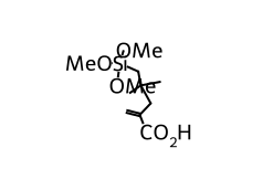 C=C(CC(C)(C)C[Si](OC)(OC)OC)C(=O)O